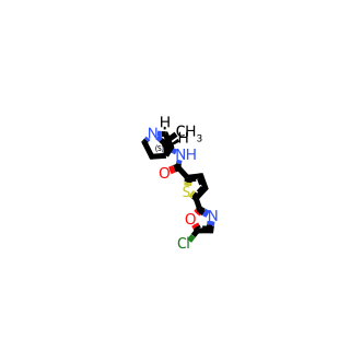 C[C@H]1[C@H](NC(=O)c2ccc(-c3ncc(Cl)o3)s2)C2CCN1CC2